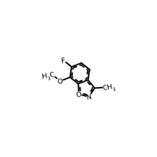 COc1c(F)ccc2c(C)noc12